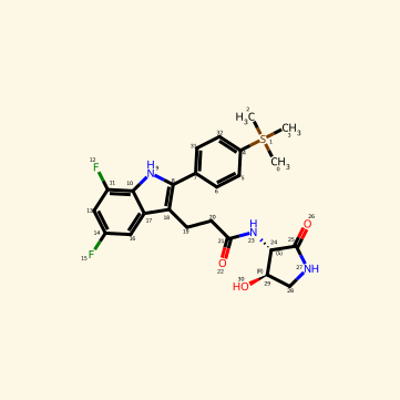 CS(C)(C)c1ccc(-c2[nH]c3c(F)cc(F)cc3c2CCC(=O)N[C@@H]2C(=O)NC[C@H]2O)cc1